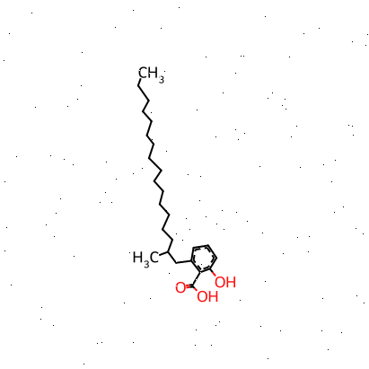 CCCCCCCCCCCCCCCC(C)Cc1cccc(O)c1C(=O)O